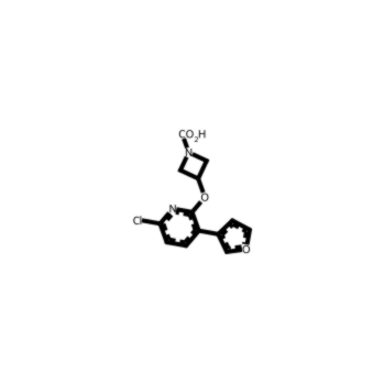 O=C(O)N1CC(Oc2nc(Cl)ccc2-c2ccoc2)C1